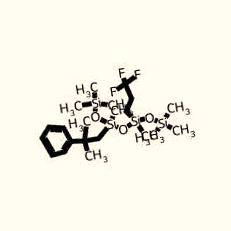 CC(C)(C[Si](C)(O[Si](C)(C)C)O[Si](C)(CCC(F)(F)F)O[Si](C)(C)C)c1ccccc1